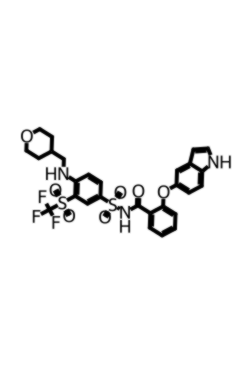 O=C(NS(=O)(=O)c1ccc(NCC2CCOCC2)c(S(=O)(=O)C(F)(F)F)c1)c1ccccc1Oc1ccc2[nH]ccc2c1